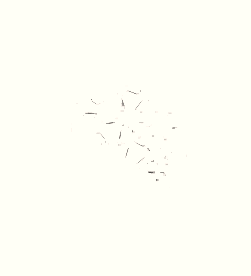 Cc1noc(C)c1-c1cnc2c3ccc(N(S(C)(=O)=O)S(C)(=O)=O)nc3n(C(c3ccccc3)C3CCOCC3)c2c1